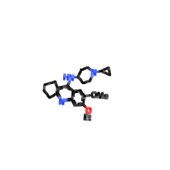 CCOc1cc2nc3c(c(NC4CCN(C5CC5)CC4)c2cc1OC)CCCC3